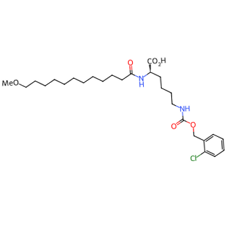 COCCCCCCCCCCCC(=O)N[C@H](CCCCNC(=O)OCc1ccccc1Cl)C(=O)O